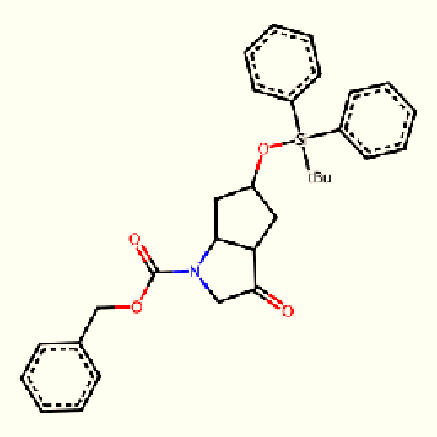 CC(C)(C)[Si](OC1CC2C(=O)CN(C(=O)OCc3ccccc3)C2C1)(c1ccccc1)c1ccccc1